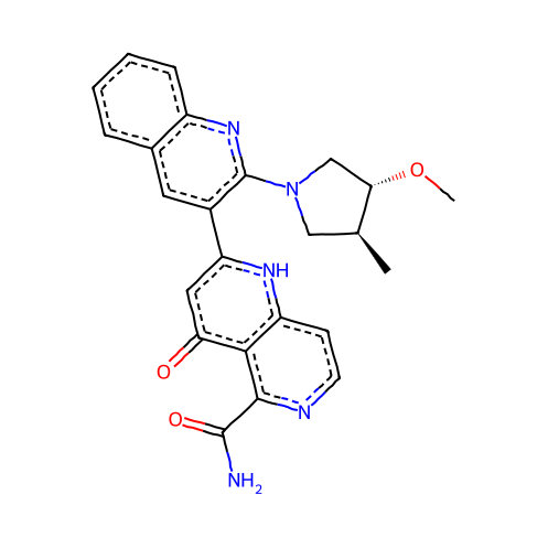 CO[C@H]1CN(c2nc3ccccc3cc2-c2cc(=O)c3c(C(N)=O)nccc3[nH]2)C[C@@H]1C